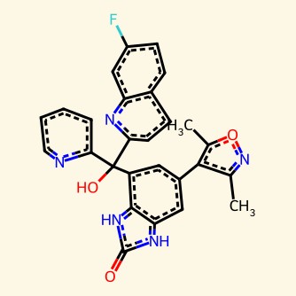 Cc1noc(C)c1-c1cc(C(O)(c2ccccn2)c2ccc3ccc(F)cc3n2)c2[nH]c(=O)[nH]c2c1